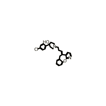 OC1(c2ccc(Cl)cc2)CCN(CCC=C2Cc3ccccc3Oc3ncccc32)CC1